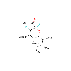 COC(=O)[C@]1(F)OC([C@H](OC(C)=O)[C@@H](COC(C)=O)OC(C)=O)[C@H](NC(C)=O)C(NC(C)=O)C1F